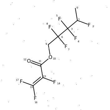 CC(F)C(F)(F)C(F)(F)COC(=O)C(F)=C(F)F